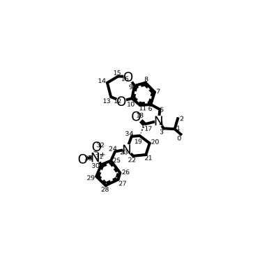 CC(C)CN(Cc1ccc2c(c1)OCCCO2)C(=O)[C@@H]1CCCN(Cc2ccccc2[N+](=O)[O-])C1